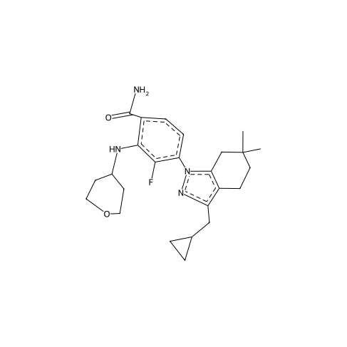 CC1(C)CCc2c(CC3CC3)nn(-c3ccc(C(N)=O)c(NC4CCOCC4)c3F)c2C1